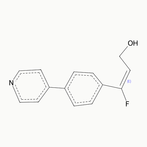 OC/C=C(/F)c1ccc(-c2ccncc2)cc1